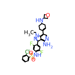 CCn1nc(-c2cc(F)c(NS(=O)(=O)c3ccccc3Cl)cc2F)c2c(N)ncc(C3=CCC(NC4COC4)CC3)c21